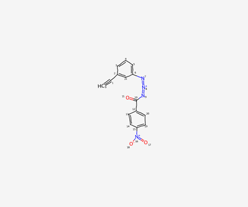 C#Cc1cccc(N=[N+]=NC(=O)c2ccc([N+](=O)[O-])cc2)c1